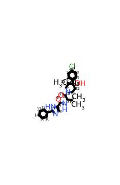 CC(C)[C@@H](NC(=O)c1cnc(-c2ccccc2)[nH]1)C(=O)N1CC[C@](O)(c2ccc(Cl)cc2)C(C)(C)C1